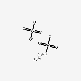 [Cu+2].[O]=[W](=[O])([O-])[O-].[O]=[W](=[O])([O-])[O-].[Pb+2]